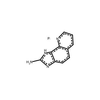 Nc1nc2ccc3cccnc3c2[nH]1.[P]